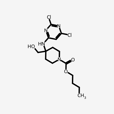 CCCCOC(=O)N1CCC(CO)(Nc2cc(Cl)nc(Cl)n2)CC1